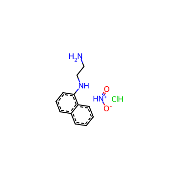 Cl.NCCNc1cccc2ccccc12.O=[NH+][O-]